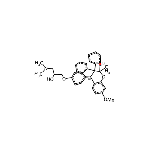 COc1ccc2c(c1)OC(C)(C)C(c1ccccc1)(c1ccccc1)[C@@H]2c1ccc(OCC(O)CN(C)C)cc1